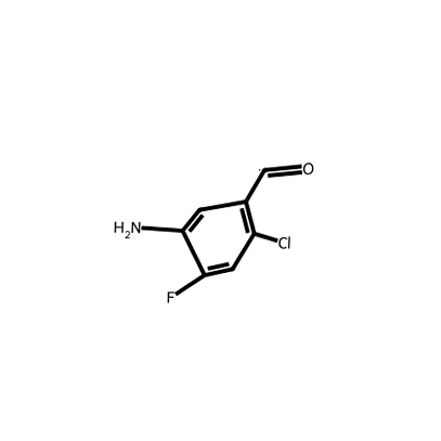 Nc1cc([C]=O)c(Cl)cc1F